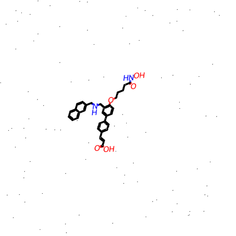 O=C(O)/C=C/c1ccc(-c2ccc(OCCCCC(=O)NO)c(CNCc3ccc4ccccc4c3)c2)cc1